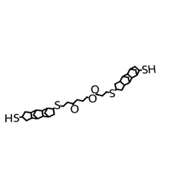 O=C(CCCOC(=O)CCSC1CC2C(C1)C1CC2C2C3CC(S)C(C3)C12)CCSC1CC2CC1C1C3CC(C4CC(S)CC43)C21